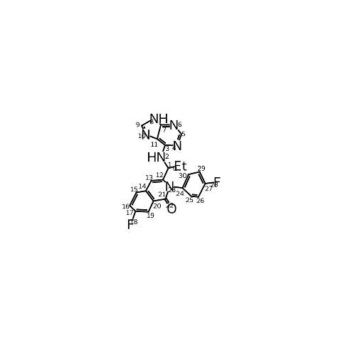 CCC(Nc1ncnc2[nH]cnc12)c1cc2ccc(F)cc2c(=O)n1-c1ccc(F)cc1